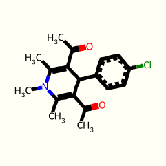 CC(=O)C1=C(C)N(C)C(C)=C(C(C)=O)C1c1ccc(Cl)cc1